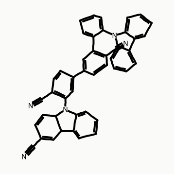 N#CC1=CC2c3ccccc3N(c3cc(-c4ccc(C#N)c(-c5ccccc5-n5c6ccccc6c6ccccc65)c4)ccc3C#N)C2C=C1